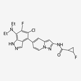 CCN(CC)c1c(F)c(Cl)c(-c2ccn3nc(NC(=O)C4CC4F)cc3c2)c2cn[nH]c12